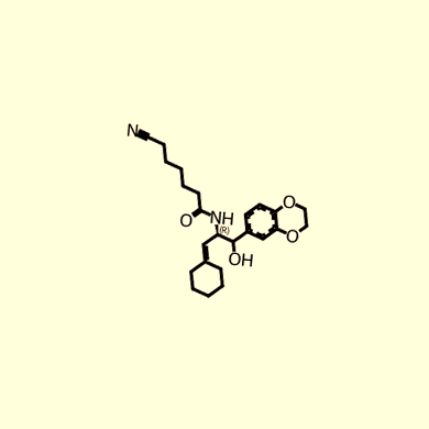 N#CCCCCCC(=O)N[C@H](C=C1CCCCC1)C(O)c1ccc2c(c1)OCCO2